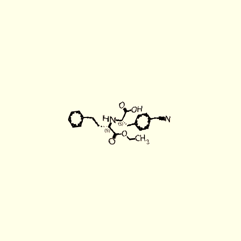 CCOC(=O)[C@H](CCc1ccccc1)N[C@@H](Cc1ccc(C#N)cc1)C(=O)O